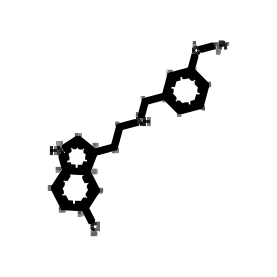 CCCOc1cccc(CNCCc2c[nH]c3ccc(Cl)cc23)c1